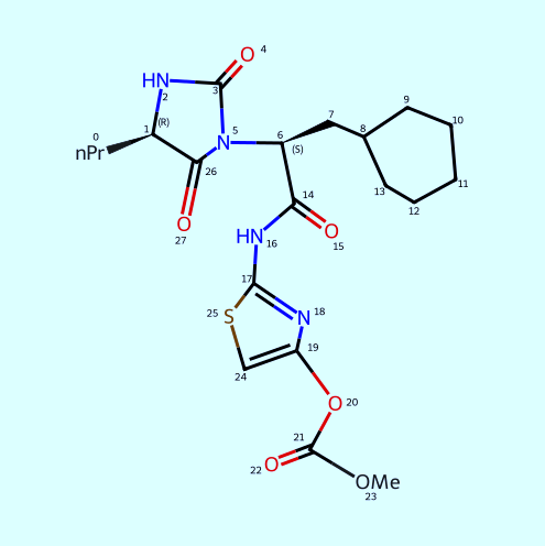 CCC[C@H]1NC(=O)N([C@@H](CC2CCCCC2)C(=O)Nc2nc(OC(=O)OC)cs2)C1=O